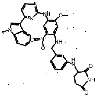 COc1cc(NCc2cccc(NC3CCC(=O)NC3=O)c2)c([N+](=O)[O-])cc1Nc1nccc(-c2cn(C)c3ccccc23)n1